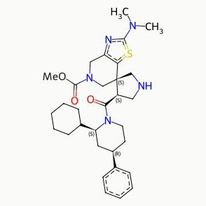 COC(=O)N1Cc2nc(N(C)C)sc2[C@@]2(CNC[C@H]2C(=O)N2CC[C@@H](c3ccccc3)C[C@H]2C2CCCCC2)C1